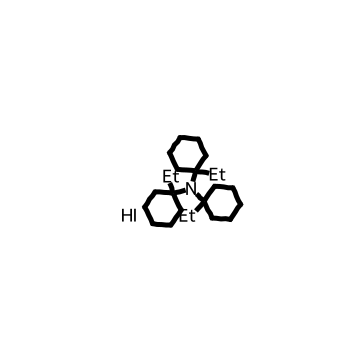 CCC1(N(C2(CC)CCCCC2)C2(CC)CCCCC2)CCCCC1.I